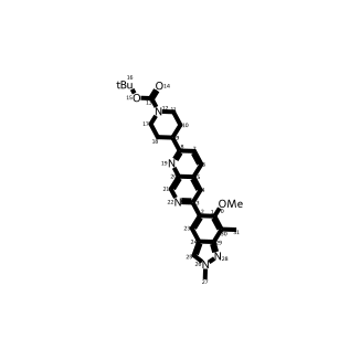 COc1c(-c2cc3ccc(C4CCN(C(=O)OC(C)(C)C)CC4)nc3cn2)cc2cn(C)nc2c1C